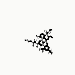 CCOC(=O)N1c2ccc(OC)nc2C(N(Cc2cc(C(F)(F)F)cc(C(F)(F)F)c2)c2ncc(NC(=O)NCCOC)cn2)CC1CC